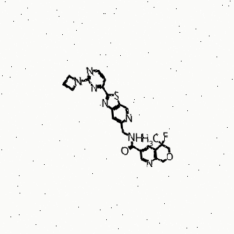 C[C@@]1(F)COCc2ncc(C(=O)NCc3cc4nc(-c5ccnc(N6CCC6)n5)sc4cn3)cc21